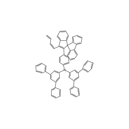 C=C/C=C\C1=C(c2ccc(N(c3cc(-c4ccccc4)cc(-c4ccccc4)c3)c3cc(-c4ccccc4)cc(-c4ccccc4)c3)cc2)C2(c3ccccc31)c1ccccc1-c1ccccc12